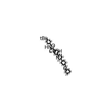 CC(C)(C)c1ccc(C(=O)N[C@@H](Cc2ccc(-c3ncc(-c4ccc(COc5ccccc5)cc4)cn3)cc2)C(=O)O)cc1